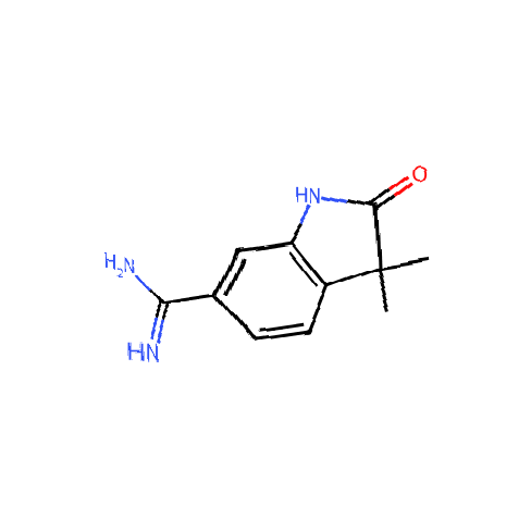 CC1(C)C(=O)Nc2cc(C(=N)N)ccc21